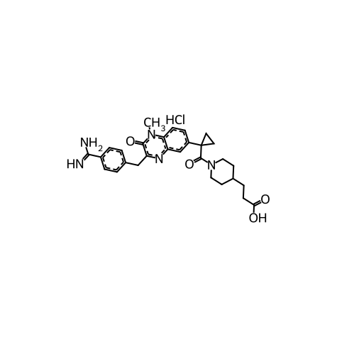 Cl.Cn1c(=O)c(Cc2ccc(C(=N)N)cc2)nc2cc(C3(C(=O)N4CCC(CCC(=O)O)CC4)CC3)ccc21